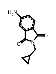 Nc1ccc2c(c1)C(=O)N(CC1CC1)C2=O